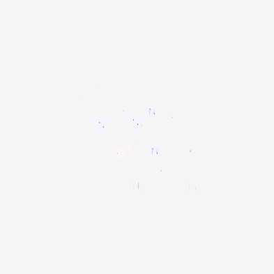 Cc1c(Br)cc2cnn(-c3ccccn3)c(=O)n12